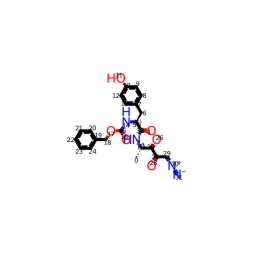 C[C@H](NC(=O)[C@H](Cc1ccc(O)cc1)NC(=O)OCc1ccccc1)C(=O)C(=O)C=[N+]=[N-]